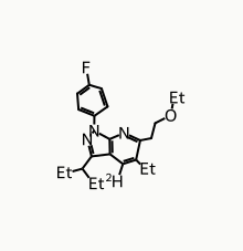 [2H]c1c(CC)c(CCOCC)nc2c1c(C(CC)CC)nn2-c1ccc(F)cc1